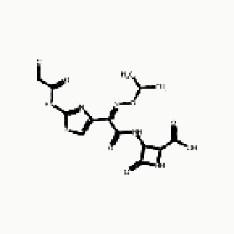 CC(C)ON=C(C(=O)NC1C(=O)NC1C(=O)O)c1csc(NC(=O)CCl)n1